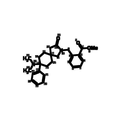 COC(=O)c1ccccc1CN1CC2(CCC(c3ccccc3)(N(C)C)CC2)CC1=O